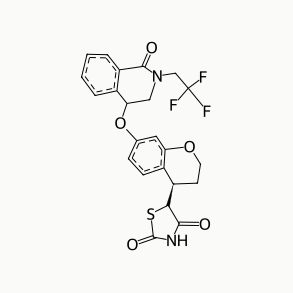 O=C1NC(=O)C([C@@H]2CCOc3cc(OC4CN(CC(F)(F)F)C(=O)c5ccccc54)ccc32)S1